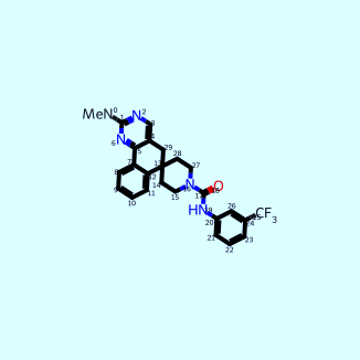 CNc1ncc2c(n1)-c1ccccc1C1(CCN(C(=O)Nc3cccc(C(F)(F)F)c3)CC1)C2